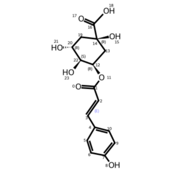 O=C(/C=C/c1ccc(O)cc1)O[C@@H]1C[C@@](O)(C(=O)O)C[C@@H](O)[C@@H]1O